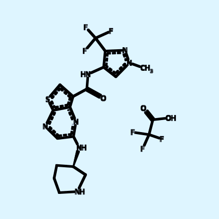 Cn1cc(NC(=O)c2csc3ncc(N[C@@H]4CCCNC4)nc23)c(C(F)(F)F)n1.O=C(O)C(F)(F)F